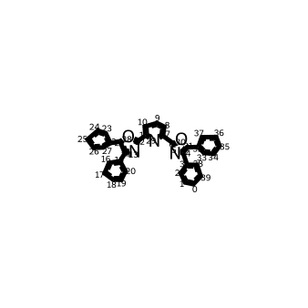 c1ccc(-c2nc(-c3cccc(-c4nc(-c5ccccc5)c(-c5ccccc5)o4)n3)oc2-c2ccccc2)cc1